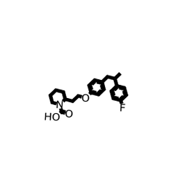 CC(Cc1ccc(OCCC2CCCCN2C(=O)O)cc1)c1ccc(F)cc1